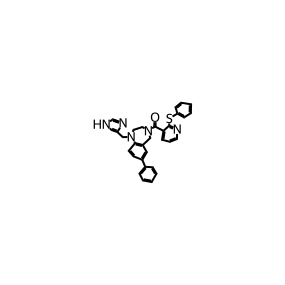 O=C(c1cccnc1Sc1ccccc1)N1CCN(Cc2c[nH]cn2)c2ccc(-c3ccccc3)cc2C1